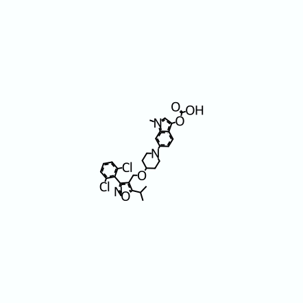 CC(C)c1onc(-c2c(Cl)cccc2Cl)c1COC1CCN(c2ccc3c(OC(=O)O)cn(C)c3c2)CC1